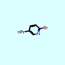 [CH2]CCc1ccc(Br)nc1